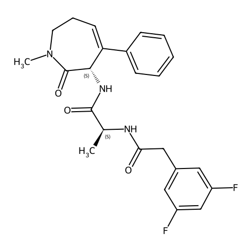 C[C@H](NC(=O)Cc1cc(F)cc(F)c1)C(=O)N[C@@H]1C(=O)N(C)CCC=C1c1ccccc1